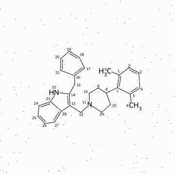 Cc1cccc(C)c1C1CCN(Cc2c(Cc3ccccc3)[nH]c3ccccc23)CC1